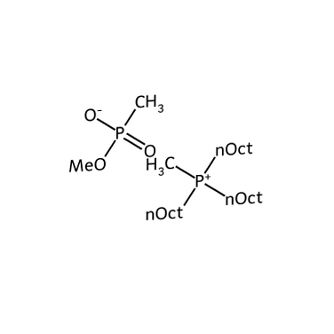 CCCCCCCC[P+](C)(CCCCCCCC)CCCCCCCC.COP(C)(=O)[O-]